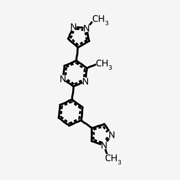 Cc1nc(-c2cccc(-c3cnn(C)c3)c2)ncc1-c1cnn(C)c1